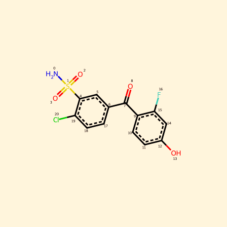 NS(=O)(=O)c1cc(C(=O)c2ccc(O)cc2F)ccc1Cl